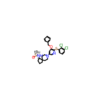 CC(C)(C)[S+]([O-])N[C@@H]1CCCC12CCN(c1cnc(Sc3cccc(Cl)c3Cl)c(OCc3ccccc3)c1)CC2